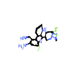 CN/C=C(\C(=N)C(F)F)c1nc2c(F)cc(N)c(C=N)c2c2c1CCCC2